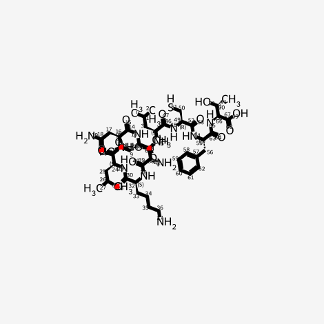 CC(C)C[C@H](NC(=O)[C@H](CC(=O)O)NC(=O)[C@H](CC(N)=O)NC(=O)[C@H](CC(C)C)NC(=O)[C@H](CCCCN)NC(=O)[C@@H](N)[C@@H](C)O)C(=O)N[C@@H](CS)C(=O)N[C@@H](Cc1ccccc1)C(=O)N[C@H](C(=O)O)[C@@H](C)O